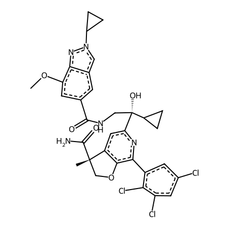 COc1cc(C(=O)NC[C@](O)(c2cc3c(c(-c4cc(Cl)cc(Cl)c4Cl)n2)OC[C@]3(C)C(N)=O)C2CC2)cc2cn(C3CC3)nc12